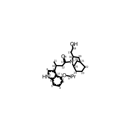 CC(C)Oc1cccc2[nH]cc(C(C)CC(=O)N3C(CCO)CC4CCCC3C4)c12